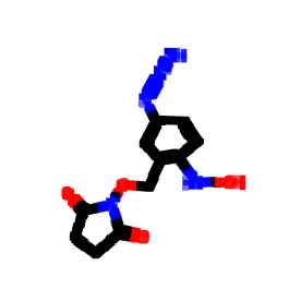 N=[N+]=Nc1ccc(NO)c(CON2C(=O)CCC2=O)c1